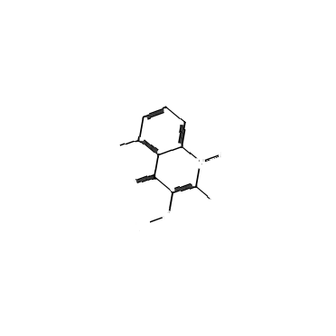 O=C(O)Oc1c(F)n(F)c2cccc(F)c2c1=O